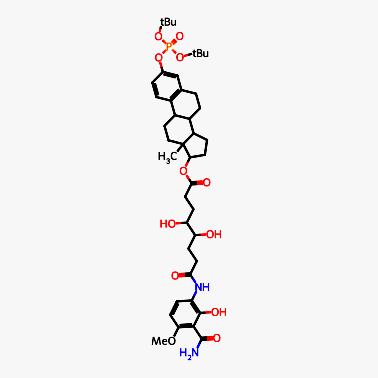 COc1ccc(NC(=O)CCC(O)C(O)CCC(=O)OC2CCC3C4CCc5cc(OP(=O)(OC(C)(C)C)OC(C)(C)C)ccc5C4CCC23C)c(O)c1C(N)=O